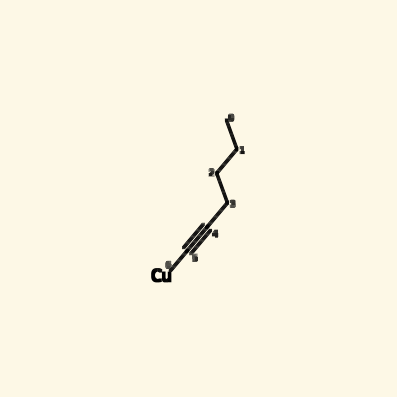 CCCCC#[C][Cu]